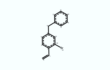 C=Cc1ccc(Cc2ccccc2)cc1Br